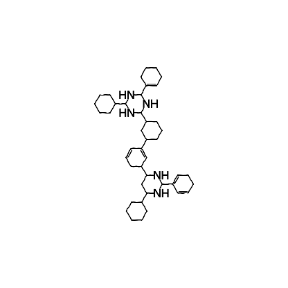 C1=CC(C2NC(C3C=C(C4CCCC(C5NC(C6=CCCCC6)NC(C6CCCCC6)N5)C4)C=CC3)CC(C3CCCCC3)N2)=CCC1